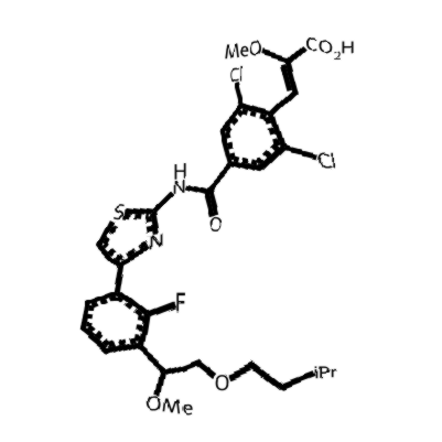 CO/C(=C\c1c(Cl)cc(C(=O)Nc2nc(-c3cccc(C(COCCC(C)C)OC)c3F)cs2)cc1Cl)C(=O)O